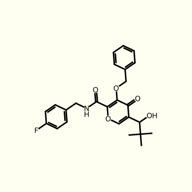 CC(C)(C)C(O)c1coc(C(=O)NCc2ccc(F)cc2)c(OCc2ccccc2)c1=O